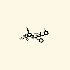 CC#Cc1cc(C(=O)N[C@@H](Cc2ccccc2)[C@H](O)CNCc2cccc(I)c2)cc(C(=O)N(CCC)CCC)c1